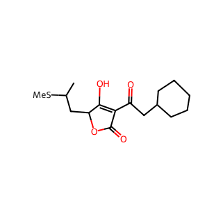 CSC(C)CC1OC(=O)C(C(=O)CC2CCCCC2)=C1O